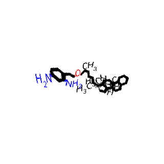 CC(CCC[C@@H](C)[C@H]1CC[C@H]2[C@@H]3CCC4CCCC[C@]4(C)[C@H]3CC[C@]12C)COCCc1ccc(N)cc1N